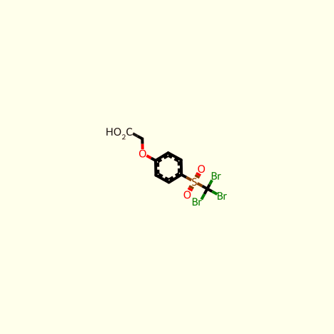 O=C(O)COc1ccc(S(=O)(=O)C(Br)(Br)Br)cc1